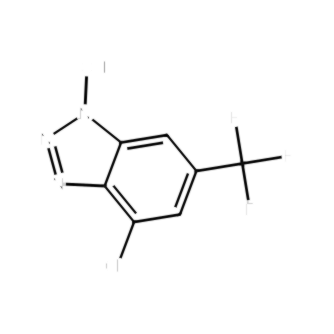 On1nnc2c(Cl)cc(C(F)(F)F)cc21